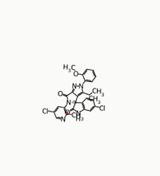 COc1ccccc1-n1nc2c(c1C(C)C)[C@@]1(C(=O)Nc3cc(Cl)ccc31)N(c1cc(Cl)cnc1C)C2=O